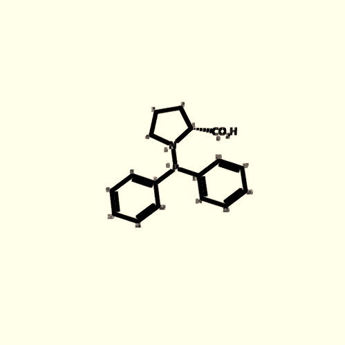 O=C(O)[C@H]1CCCN1P(c1ccccc1)c1ccccc1